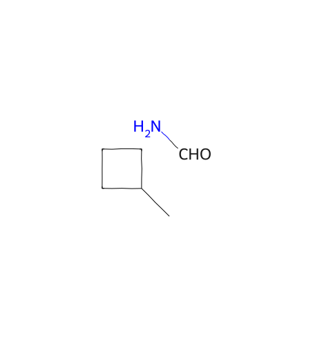 CC1CCC1.NC=O